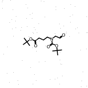 CC(C)(C)OC(=O)CCCN(CC=O)C(=O)OC(C)(C)C